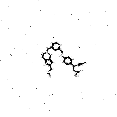 CC#C[C@@H](CC(=O)O)c1ccc(OCc2cccc(CN3CCc4sc(CN=O)cc4C3)c2)cc1